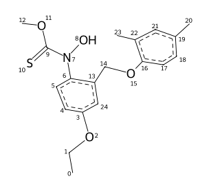 CCOc1ccc(N(O)C(=S)OC)c(COc2ccc(C)cc2C)c1